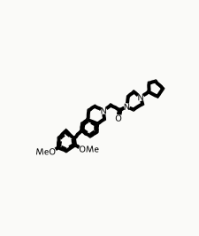 COc1ccc(-c2ccc3c(c2)CCN(CC(=O)N2CCN(C4CCCC4)CC2)C3)c(OC)c1